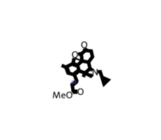 COC(=O)/C=C/c1cc(C)c2c3c1C1(C)CN(CC4CC4)C1C1CCC(=O)C(O2)[C@@]31C